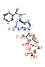 C[C@H](c1ccccc1)N(C)c1nc(Cl)nc2c1ccn2[C@@H]1OC(CS(=O)(=O)CP(=O)(O)O)[C@@H](O)[C@H]1O